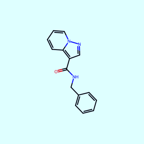 O=C(NCc1ccccc1)c1cnn2ccccc12